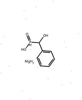 O=[PH](O)C(O)c1ccccc1.[MgH2]